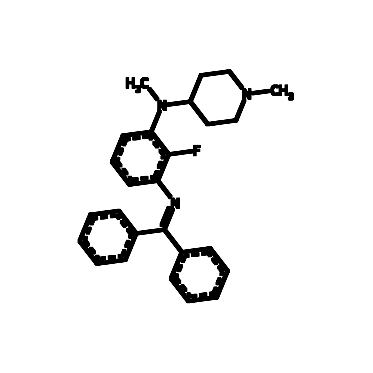 CN1CCC(N(C)c2cccc(N=C(c3ccccc3)c3ccccc3)c2F)CC1